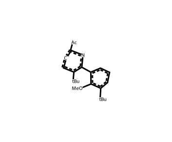 COc1c(-c2nc(C(C)=O)ccc2C(C)(C)C)cccc1C(C)(C)C